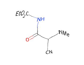 CCOC(=O)NC(=O)C(C#N)NC